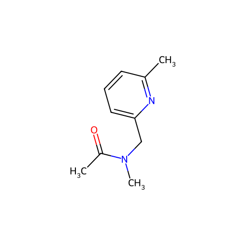 CC(=O)N(C)Cc1cccc(C)n1